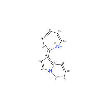 C1=CC=C(c2ccn3ccccc23)NC=C1